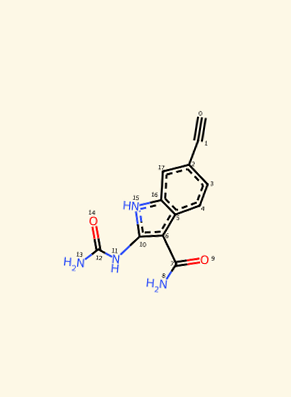 C#Cc1ccc2c(C(N)=O)c(NC(N)=O)[nH]c2c1